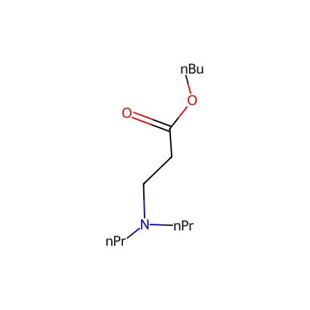 CCCCOC(=O)CCN(CCC)CCC